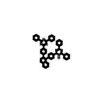 c1ccc(C2=NC(c3ccc(-c4c(-c5ccc(-c6nc(-c7ccccc7)nc(-c7ccccc7)n6)cc5)ccc5ccccc45)cc3)NC(c3ccccc3)=N2)cc1